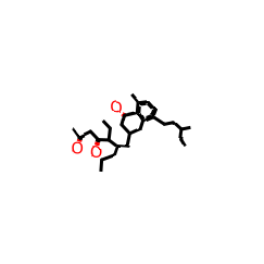 CCCC(CC1CC(=O)c2c(C)ccc(CCC(C)CC)c2C1)C(CC)C(=O)CC(C)=O